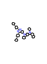 c1ccc(-c2ccc(-c3nc(-c4ccc(-c5ccccc5)cc4)c4cc(-n5c6ccccc6c6cc7c8c9ccccc9ccc8n(-c8ccccc8)c7cc65)ccc4n3)cc2)cc1